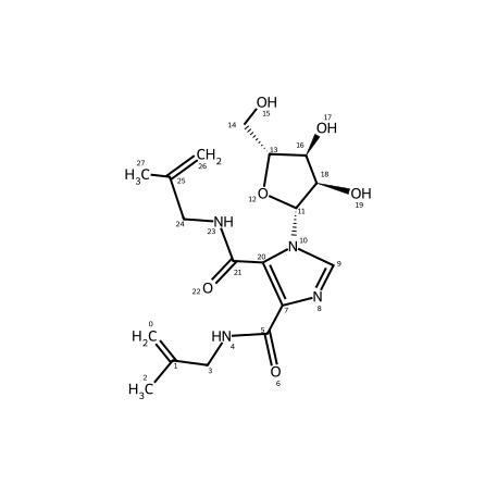 C=C(C)CNC(=O)c1ncn([C@@H]2O[C@H](CO)[C@@H](O)[C@H]2O)c1C(=O)NCC(=C)C